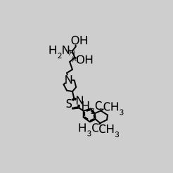 CC1(C)CCC(C)(C)c2cc(-c3csc(C4CCN(CCC[C@@H](O)[C@H](N)CO)CC4)n3)ccc21